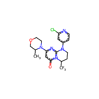 CC1COCCN1c1cc(=O)n2c(n1)N(c1ccnc(Cl)c1)CCC2C(F)(F)F